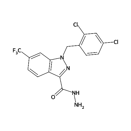 NNC(=O)c1nn(Cc2ccc(Cl)cc2Cl)c2cc(C(F)(F)F)ccc12